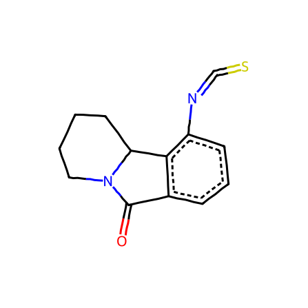 O=C1c2cccc(N=C=S)c2C2CCCCN12